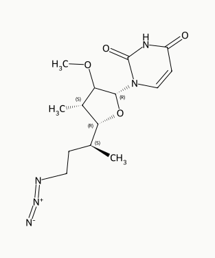 COC1[C@@H](C)[C@@H]([C@@H](C)CCN=[N+]=[N-])O[C@H]1n1ccc(=O)[nH]c1=O